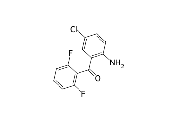 Nc1ccc(Cl)cc1C(=O)c1c(F)cccc1F